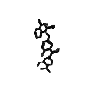 CCC1CN(C(=O)c2cc(Cn3c(=O)[nH]c(=O)c4ccccc43)ccc2F)CCN1C(C)C